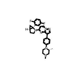 C[C@@H]1CN(C)CCN1c1ccc(-c2cnn3ccc(N4CC[C@H]5C[C@]54c4cc(F)ccc4F)nc23)cc1